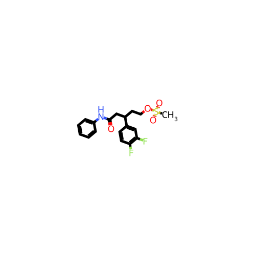 CS(=O)(=O)OCCC(CC(=O)Nc1ccccc1)c1ccc(F)c(F)c1